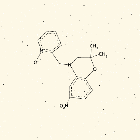 CC1(C)CN(Cc2cccc[n+]2[O-])c2cc([N+](=O)[O-])ccc2O1